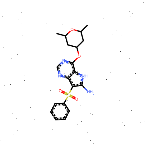 CC1CC(Oc2ncnc3c(S(=O)(=O)c4ccccc4)c(N)[nH]c23)CC(C)O1